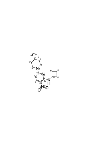 CC1CCN(c2ccc([N+](=O)[O-])c(NC3CCC3)n2)CC1